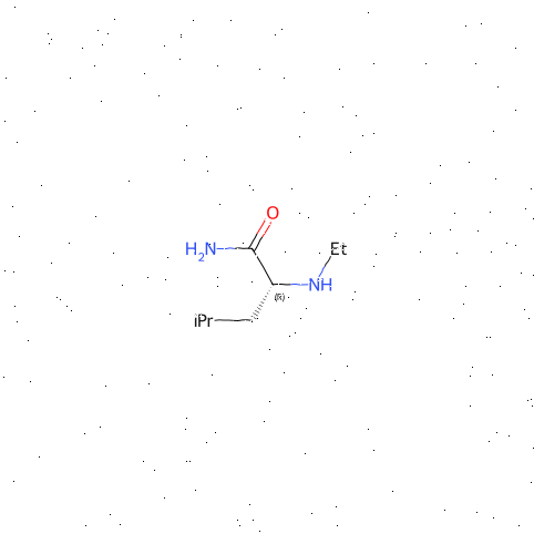 CCN[C@H](CC(C)C)C(N)=O